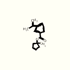 CC(C)c1cccc(C(=O)OC2(C)CCCC2)c1